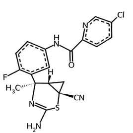 C[C@@]1(c2cc(NC(=O)c3ccc(Cl)cn3)ccc2F)N=C(N)S[C@@]2(C#N)C[C@@H]12